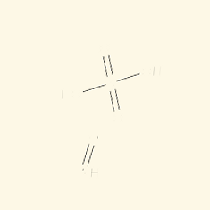 O=S(=O)(O)O.[O]=[AlH]